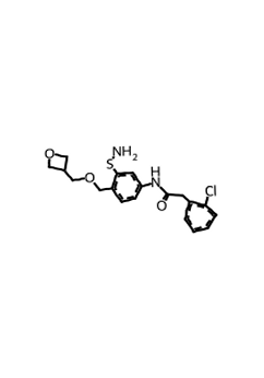 NSc1cc(NC(=O)Cc2ccccc2Cl)ccc1COCC1COC1